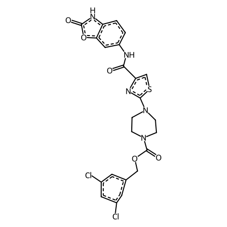 O=C(Nc1ccc2[nH]c(=O)oc2c1)c1csc(N2CCN(C(=O)OCc3cc(Cl)cc(Cl)c3)CC2)n1